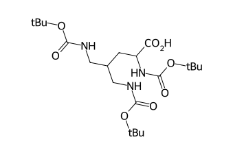 CC(C)(C)OC(=O)NCC(CNC(=O)OC(C)(C)C)CC(NC(=O)OC(C)(C)C)C(=O)O